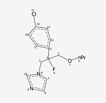 CCCOCC(F)(Cn1ccnc1)c1ccc(Cl)cc1